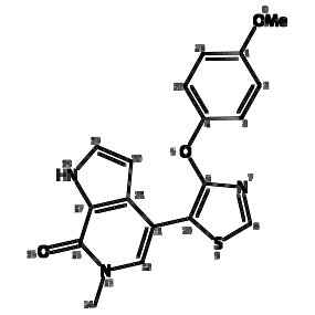 COc1ccc(Oc2ncsc2-c2cn(C)c(=O)c3[nH]ccc23)cc1